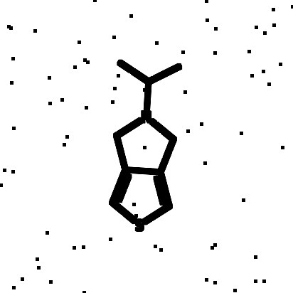 CC(C)N1Cc2cscc2C1